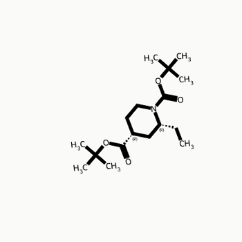 CC[C@@H]1C[C@H](C(=O)OC(C)(C)C)CCN1C(=O)OC(C)(C)C